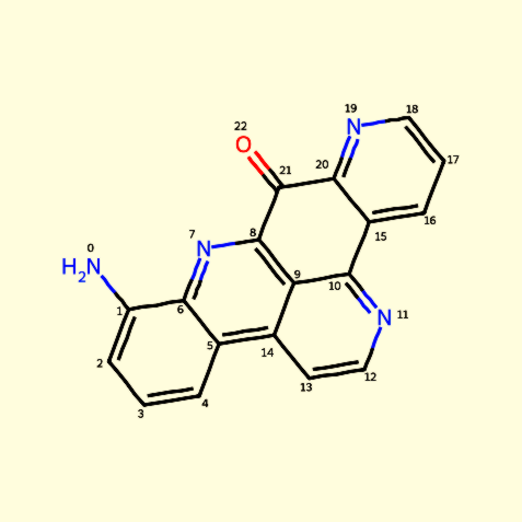 Nc1cccc2c1nc1c3c(nccc32)-c2cccnc2C1=O